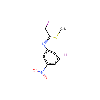 CSC(CI)=Nc1cccc([N+](=O)[O-])c1.I